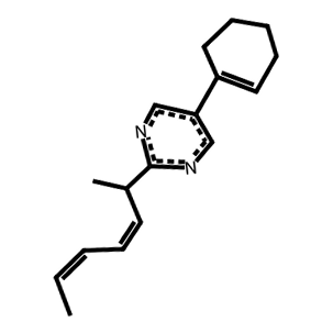 C/C=C\C=C/C(C)c1ncc(C2=CCCCC2)cn1